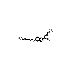 CCCCCCCOc1ccc2nc([C@H](C)COCOC)ncc2c1